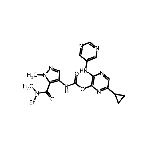 CCN(C)C(=O)c1c(NC(=O)Oc2nc(C3CC3)cnc2Nc2cncnc2)cnn1C